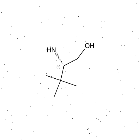 CC(C)(C)[C@H]([NH])CO